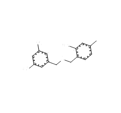 Cc1ccc(COCc2cc(C(F)(F)F)cc(C(F)(F)F)c2)c(N)c1